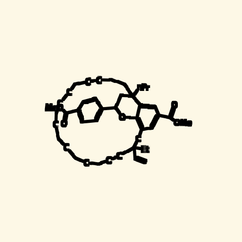 C=CC1(CC)CCCCCCCCCCCCCCCCC2(CCC)CC(c3ccc(C(=O)OC)cc3)Oc3c(cc(C(=O)OC)cc32)C1